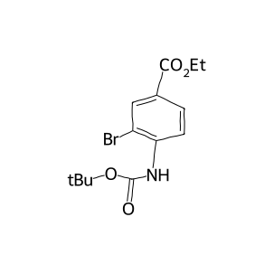 CCOC(=O)c1ccc(NC(=O)OC(C)(C)C)c(Br)c1